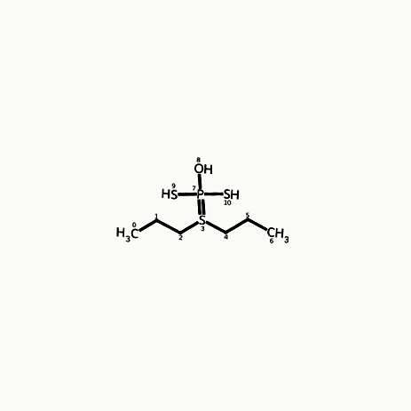 CCCS(CCC)=P(O)(S)S